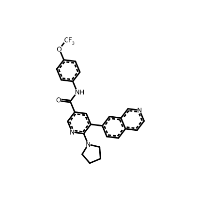 O=C(Nc1ccc(OC(F)(F)F)cc1)c1cnc(N2CCCC2)c(-c2ccc3ccncc3c2)c1